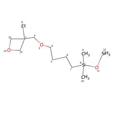 CCC1(COCCCC[Si](C)(C)O[SiH3])COC1